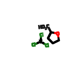 O=C(O)C1CCCO1.[Cl][V]([Cl])[Cl]